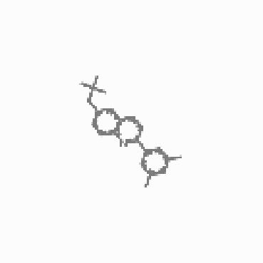 Cc1cc(C)cc(-c2ccc3cc(CC(C)(C)C)ccc3n2)c1